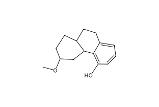 COC1CCC2CCc3cccc(O)c3C2C1